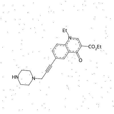 CCOC(=O)c1cn(CC)c2ccc(C#CCN3CCNCC3)cc2c1=O